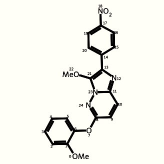 COc1ccccc1Oc1ccc2nc(-c3ccc([N+](=O)[O-])cc3)c(OC)n2n1